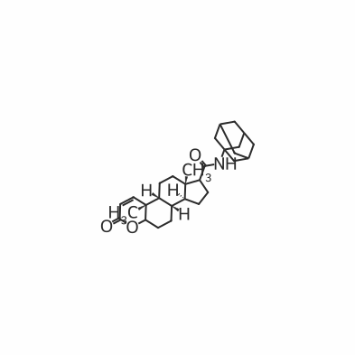 C[C@]12C=CC(=O)OC1CC[C@@H]1[C@H]2CC[C@]2(C)C(C(=O)NC34CC5CC(CC(C5)C3)C4)CC[C@@H]12